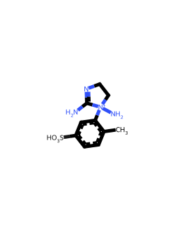 Cc1ccc(S(=O)(=O)O)cc1[N+]1(N)CCN=C1N